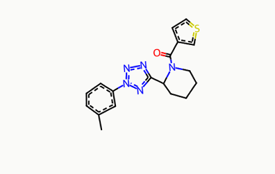 Cc1cccc(-n2nnc(C3CCCCN3C(=O)c3ccsc3)n2)c1